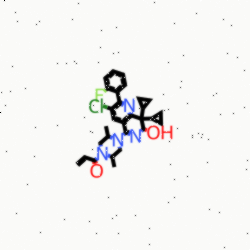 C=CC(=O)N1CC(C)N(C2=NC(O)C(C3CC3)(C3CC3)c3nc(-c4ccccc4F)c(Cl)cc32)CC1C